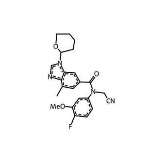 COc1cc(N(CC#N)C(=O)c2cc(C)c3ncn(C4CCCCO4)c3c2)ccc1F